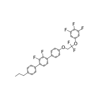 CCCc1ccc(-c2ccc(-c3ccc(OCC(F)(F)Oc4cc(F)c(F)c(F)c4)cc3)c(F)c2F)cc1